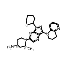 C[C@@H]1C[C@@H](N)CCN1c1cnc2c(N3CCCc4ncccc43)nn(C3CCCCO3)c2n1